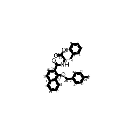 O=C(N[C@@H](Cc1ccccc1)C(=O)O)c1ccc2ccccc2c1OCc1ccc(F)cc1